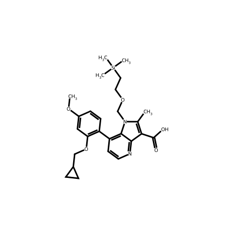 COc1ccc(-c2ccnc3c(C(=O)O)c(C)n(COCC[Si](C)(C)C)c23)c(OCC2CC2)c1